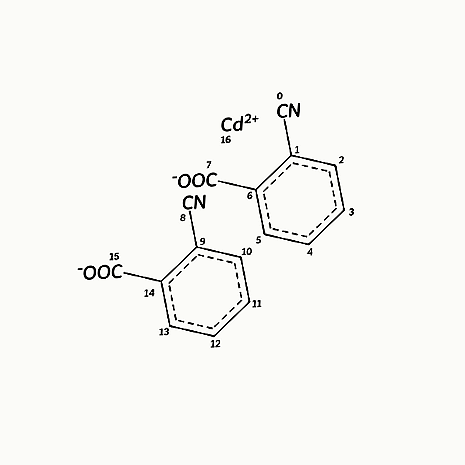 N#Cc1ccccc1C(=O)[O-].N#Cc1ccccc1C(=O)[O-].[Cd+2]